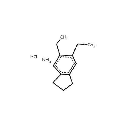 CCc1cc2c(cc1CC)CCC2.Cl.N